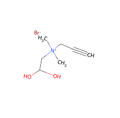 C#CC[N+](C)(C)CC(O)O.[Br-]